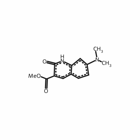 COC(=O)c1cc2ccc(N(C)C)cc2[nH]c1=O